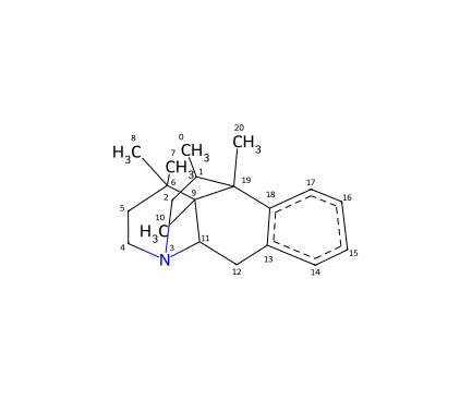 CC1CN2CCC(C)(C)C3(C)C2Cc2ccccc2C13C